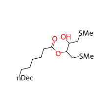 CCCCCCCCCCCCCCCC(=O)OC(CSC)C(O)CSC